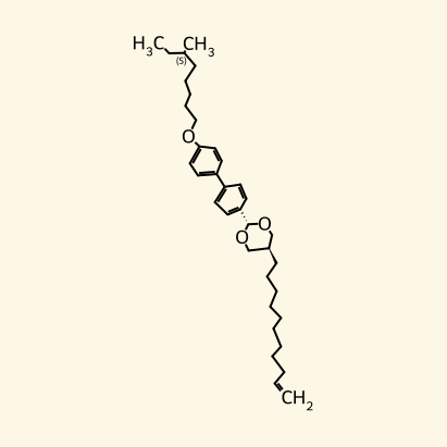 C=CCCCCCCCCC[C@H]1CO[C@H](c2ccc(-c3ccc(OCCCCC[C@@H](C)CC)cc3)cc2)OC1